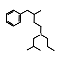 CCCN(CCC(C)Cc1ccccc1)CC(C)C